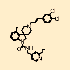 Cc1cccc2c1C1(CCN(CC=Cc3ccc(Cl)c(Cl)c3)CC1)CN2C(=O)NCc1ccnc(F)c1